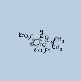 CCOC(=O)c1sc(C(=O)OCC)c(OC(=O)N(C)C)c1C